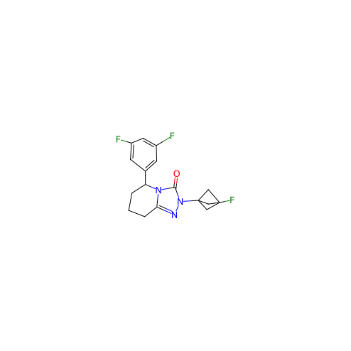 O=c1n(C23CC(F)(C2)C3)nc2n1C(c1cc(F)cc(F)c1)CCC2